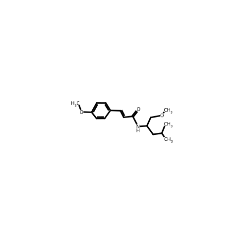 COCC(CC(C)C)NC(=O)C=Cc1ccc(OC)cc1